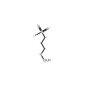 CCOC(=O)OCCCS(=O)(=O)F